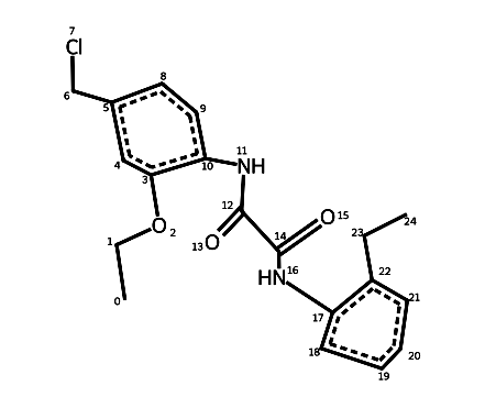 CCOc1cc(CCl)ccc1NC(=O)C(=O)Nc1ccccc1CC